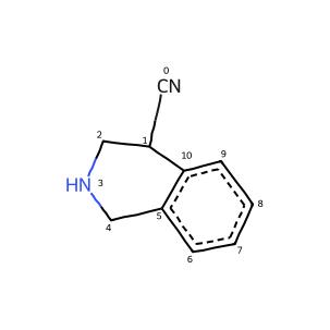 N#CC1CNCc2ccccc21